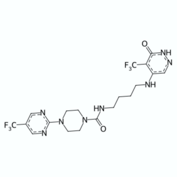 O=C(NCCCCNc1cn[nH]c(=O)c1C(F)(F)F)N1CCN(c2ncc(C(F)(F)F)cn2)CC1